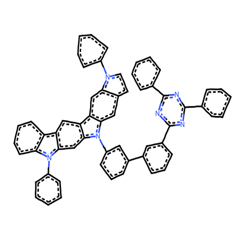 c1ccc(-c2nc(-c3ccccc3)nc(-c3cccc(-c4cccc(-n5c6cc7ccn(-c8ccccc8)c7cc6c6cc7c8ccccc8n(-c8ccccc8)c7cc65)c4)c3)n2)cc1